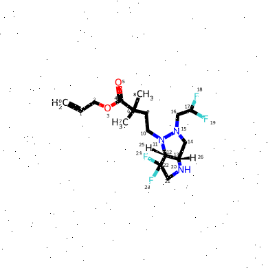 C=CCOC(=O)C(C)(C)CCN1[C@@H]2[C@H](CN1CC(F)F)NCC2(F)F